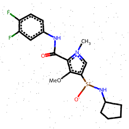 COc1c([S+]([O-])NC2CCCC2)cn(C)c1C(=O)Nc1ccc(F)c(F)c1